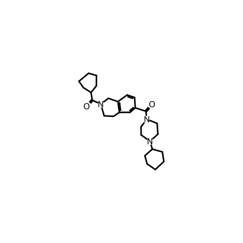 O=C(c1ccc2c(c1)CCN(C(=O)C1CCCCC1)C2)N1CCN(C2CCCCC2)CC1